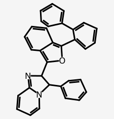 C1=CC2=NC(c3oc(-c4ccccc4-c4ccccc4)c4ccccc34)C(c3ccccc3)N2C=C1